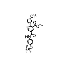 CCOC(=O)c1cc(C(=O)Nc2ccc(OC(F)(F)F)cc2)cnc1N1CC[C@@H](O)C1